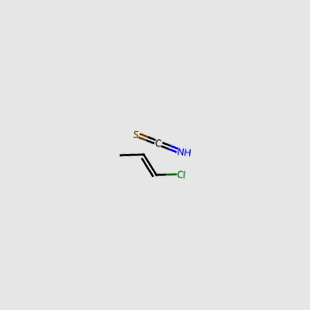 CC=CCl.N=C=S